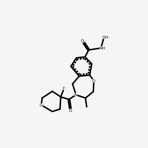 CC1COc2cc(C(=O)NO)ccc2CN1C(=O)C1(F)CCOCC1